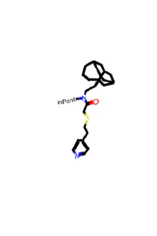 CCCCCN(CCC12CCCC3CC(CC1C3)C2)C(=O)CSCCc1ccncc1